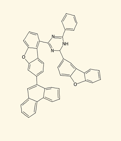 c1ccc(C2=NC(c3cccc4oc5cc(-c6cc7ccccc7c7ccccc67)ccc5c34)=NC(c3ccc4oc5ccccc5c4c3)N2)cc1